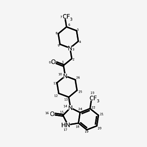 O=C(CN1CCC(C(F)(F)F)CC1)N1CCC(n2c(=O)[nH]c3cccc(C(F)(F)F)c32)CC1